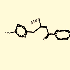 CNC(CC(=O)c1ccccc1)Cc1ccc(O)cn1